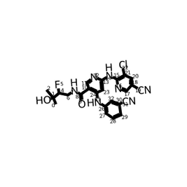 CC(C)(O)C(F)CNC(=O)c1cnc(Nc2ncc(C#N)cc2Cl)cc1Nc1cccc(C#N)c1